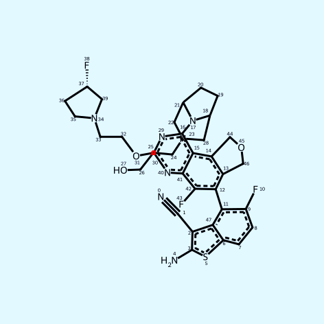 N#Cc1c(N)sc2ccc(F)c(-c3c4c(c5c(N6C7CCC6CN(CCCO)C7)nc(OCCN6CC[C@H](F)C6)nc5c3F)COC4)c12